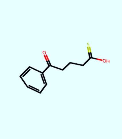 O=C(CCCC(O)=S)c1ccccc1